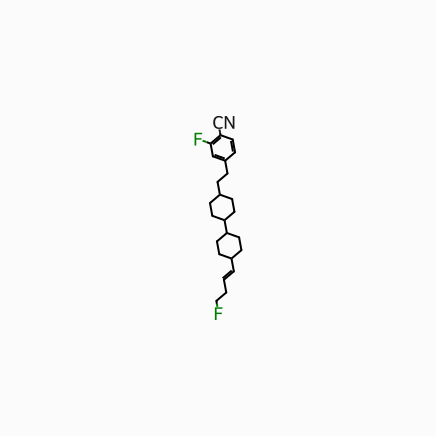 N#Cc1ccc(CCC2CCC(C3CCC(C=CCCF)CC3)CC2)cc1F